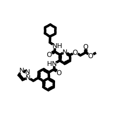 COC(=O)COc1ccc(NC(=O)c2ccc(Cn3ccnn3)c3ccccc23)c(C(=O)NCC2CCCCC2)n1